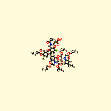 CCOC(=O)CN(CC(=O)OCC)c1ccc(C)cc1OCCOc1cc(-c2c3cc(F)c(=O)c(CN(CCC(=O)O)C(C)=O)c-3oc3cc(OC(C)=O)c(F)cc23)ccc1N(CC(=O)OCC)CC(=O)OCC